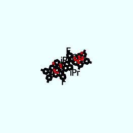 Cc1ccc([Si](c2ccc(C)cc2)(c2ccc(C)cc2)c2ccc(-c3cc(F)ccc3N(c3cc4c(C(C)C)ccc5c(N(c6ccc(F)cc6-c6ccc([Si](c7ccc(C)cc7)(c7ccc(C)cc7)c7ccc(C)cc7)cc6)c6cccc7c6oc6ccccc67)cc6c(C(C)C)ccc3c6c45)c3cccc4c3oc3ccccc34)cc2)cc1